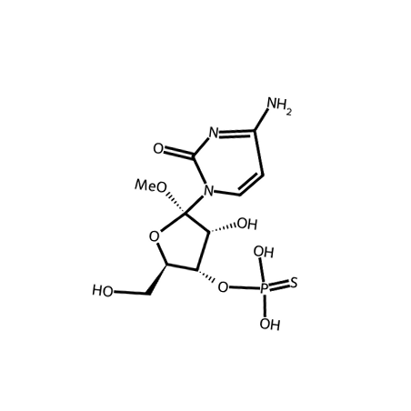 CO[C@@]1(n2ccc(N)nc2=O)O[C@H](CO)[C@@H](OP(O)(O)=S)[C@H]1O